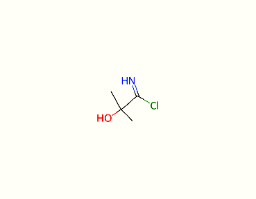 CC(C)(O)C(=N)Cl